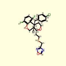 Fc1ccc(F)c2c1OC[C@H]1[C@H](CCSCc3ncon3)OCC[C@@]21Cc1ccc(Cl)cc1